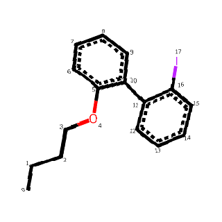 CCCCOc1ccccc1-c1ccccc1I